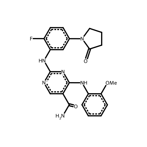 COc1ccccc1Nc1nc(Nc2cc(N3CCCC3=O)ccc2F)ncc1C(N)=O